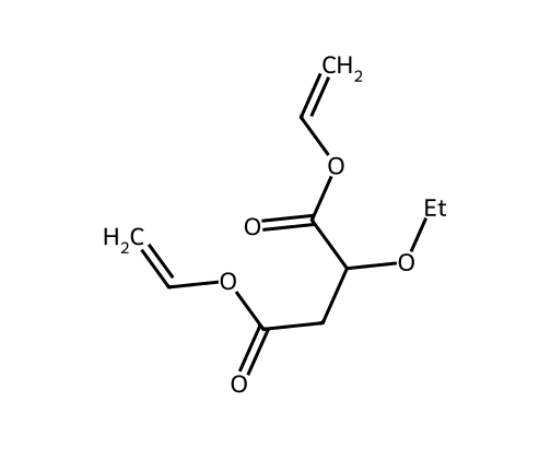 C=COC(=O)CC(OCC)C(=O)OC=C